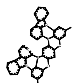 Cc1cc2c3c(c1)-n1c4ccccc4c4cccc(c41)B3c1cc3c(cc1O2)Oc1cc(C)cc2c1B3c1cccc3c4ccccc4n-2c13